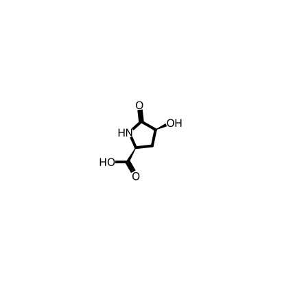 O=C(O)[C@@H]1C[C@H](O)C(=O)N1